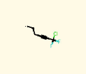 [CH2]CCC#CC(F)(F)Cl